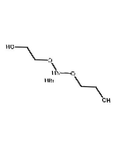 Br.OCCONOCCO